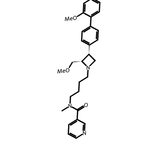 COC[C@@H]1[C@H](c2ccc(-c3ccccc3OC)cc2)CN1CCCCN(C)C(=O)c1cccnc1